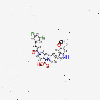 COc1ccc2[nH]cc(C3CCN(C(C(=O)O)C4CCN(C(=O)/C=C/c5cc(F)cc(F)c5)CC4)CC3)c2c1